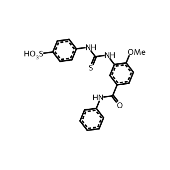 COc1ccc(C(=O)Nc2ccccc2)cc1NC(=S)Nc1ccc(S(=O)(=O)O)cc1